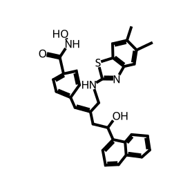 Cc1cc2nc(NCC(=Cc3ccc(C(=O)NO)cc3)CC(O)c3cccc4ccccc34)sc2cc1C